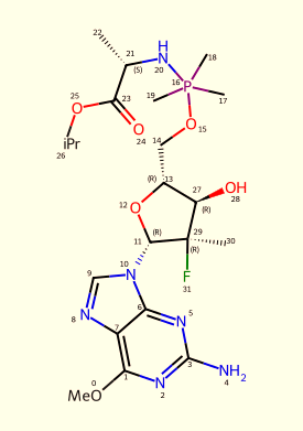 COc1nc(N)nc2c1ncn2[C@@H]1O[C@H](COP(C)(C)(C)N[C@@H](C)C(=O)OC(C)C)[C@@H](O)[C@@]1(C)F